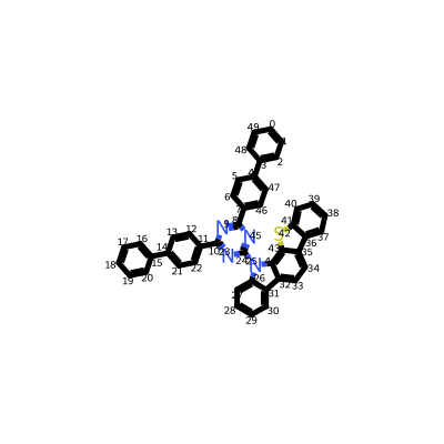 c1ccc(-c2ccc(-c3nc(-c4ccc(-c5ccccc5)cc4)nc(-n4c5ccccc5c5ccc6c7ccccc7sc6c54)n3)cc2)cc1